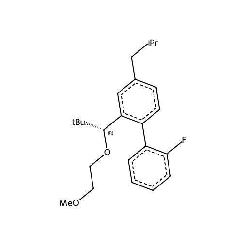 COCCO[C@@H](c1cc(CC(C)C)ccc1-c1ccccc1F)C(C)(C)C